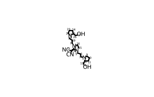 N#CC(C#N)=C1N(CCCN2CCCC2CO)CCN1CCCN1CCCC1CO